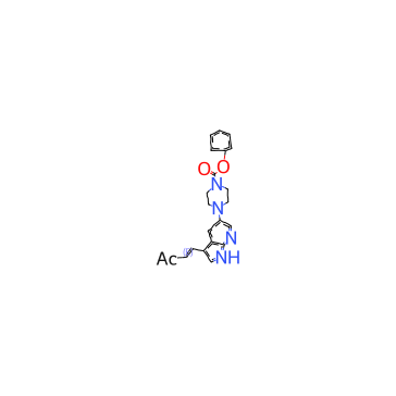 CC(=O)/C=C/c1c[nH]c2ncc(N3CCN(C(=O)Oc4ccccc4)CC3)cc12